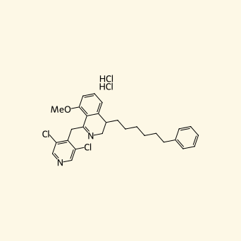 COc1cccc2c1C(Cc1c(Cl)cncc1Cl)=NCC2CCCCCCc1ccccc1.Cl.Cl